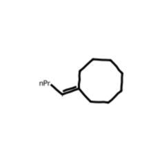 CCC[C]=C1CCCCCCC1